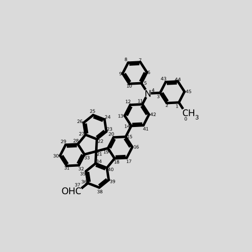 CC1C=C(N(c2ccccc2)c2ccc(-c3ccc4c(c3)C3(c5ccccc5-c5ccccc53)c3cc(C=O)ccc3-4)cc2)C=CC1